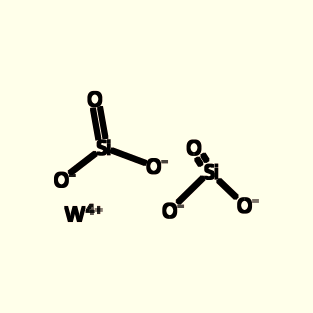 O=[Si]([O-])[O-].O=[Si]([O-])[O-].[W+4]